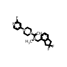 C=C(N(C)Cc1cccc2c1CC(F)(F)C2)N1CCN(c2ccnc(F)c2)CC1